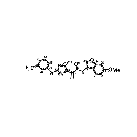 COc1ccc2c(CC(=O)Nc3sc(Cc4cccc(C(F)(F)F)c4)nc3C)coc2c1